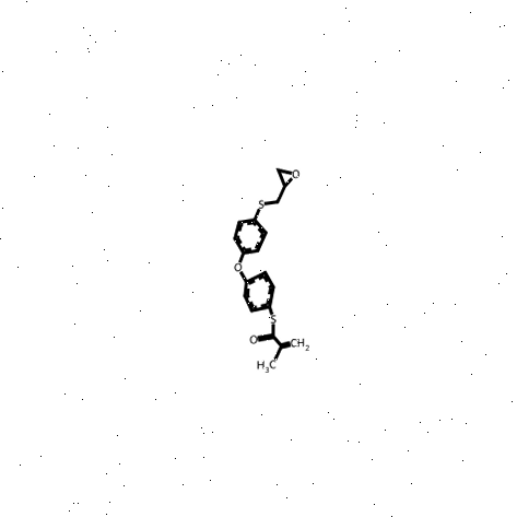 C=C(C)C(=O)Sc1ccc(Oc2ccc(SCC3CO3)cc2)cc1